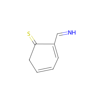 N=CC1=CC=CCC1=S